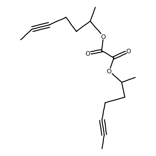 CC#CCCC(C)OC(=O)C(=O)OC(C)CCC#CC